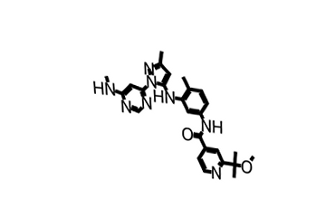 CNc1cc(-n2nc(C)cc2Nc2cc(NC(=O)c3ccnc(C(C)(C)OC)c3)ccc2C)ncn1